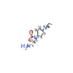 [C-]#[N+]c1ccc(N2C[C@H](CN)OC2=O)cc1